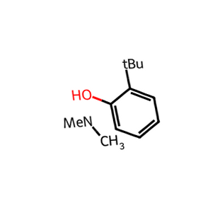 CC(C)(C)c1ccccc1O.CNC